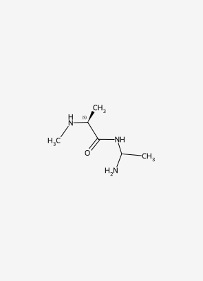 CN[C@@H](C)C(=O)NC(C)N